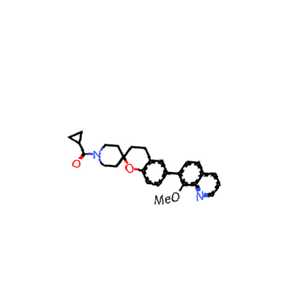 COc1c(-c2ccc3c(c2)CCC2(CCN(C(=O)C4CC4)CC2)O3)ccc2cccnc12